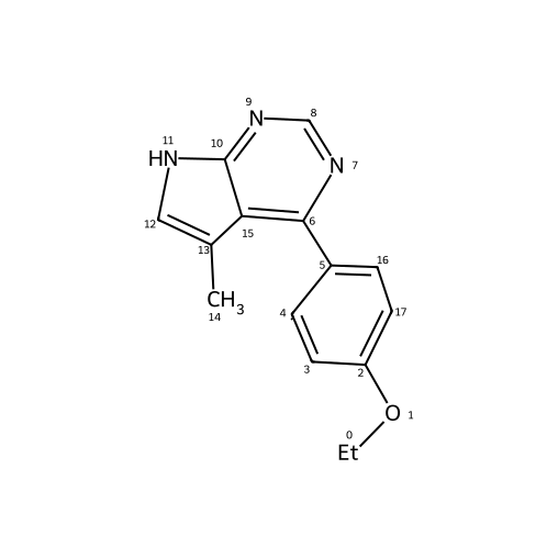 CCOc1c[c]c(-c2ncnc3[nH]cc(C)c23)cc1